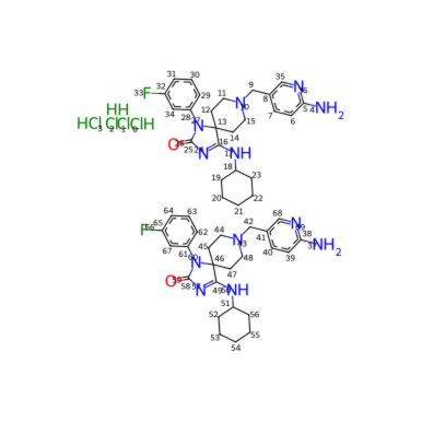 Cl.Cl.Cl.Cl.Nc1ccc(CN2CCC3(CC2)C(NC2CCCCC2)=NC(=O)N3c2cccc(F)c2)cn1.Nc1ccc(CN2CCC3(CC2)C(NC2CCCCC2)=NC(=O)N3c2cccc(F)c2)cn1